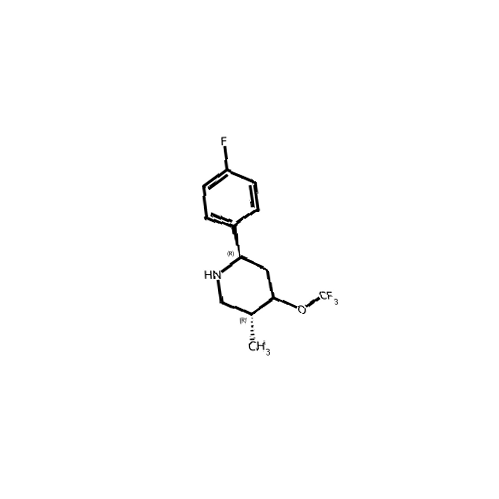 C[C@@H]1CN[C@@H](c2ccc(F)cc2)CC1OC(F)(F)F